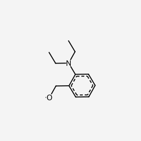 CCN(CC)c1ccccc1C[O]